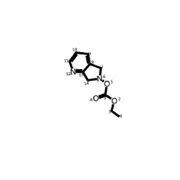 CCOC(=O)ON1Cc2cccnc2C1